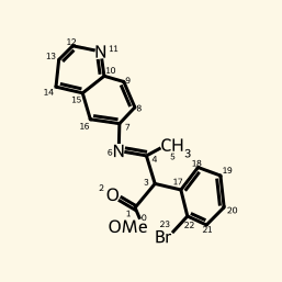 COC(=O)C(C(C)=Nc1ccc2ncccc2c1)c1ccccc1Br